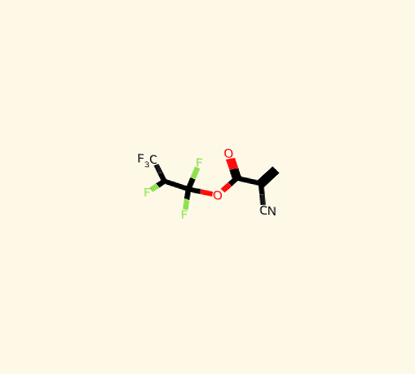 C=C(C#N)C(=O)OC(F)(F)C(F)C(F)(F)F